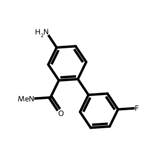 CNC(=O)c1cc(N)ccc1-c1cccc(F)c1